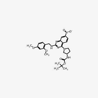 COc1ccc(CNc2nc(N3CC[C@@H](NC(=O)OC(C)(C)C)C3)c3ccc([N+](=O)[O-])cc3n2)c(OC)c1